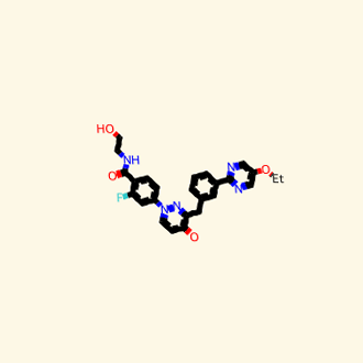 CCOc1cnc(-c2cccc(Cc3nn(-c4ccc(C(=O)NCCO)c(F)c4)ccc3=O)c2)nc1